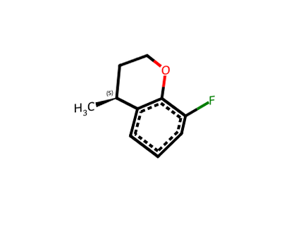 C[C@H]1CCOc2c(F)cccc21